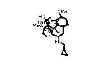 CC[C@]12c3c4ccc(OC)c3O[C@H]1[C@]1(OC)CC[C@@]2(C[C@@H]1C(C)(O)C(C)(C)C)[C@H](NCC1CC1)C4